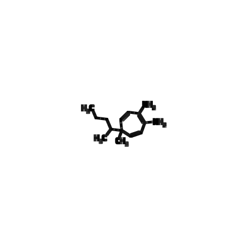 CCCC(C)C1(C)C=CC(N)=C(N)C=C1